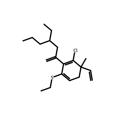 C=CC1(C)CC=C(SCC)C(C(=C)CC(CC)CCC)=C1Cl